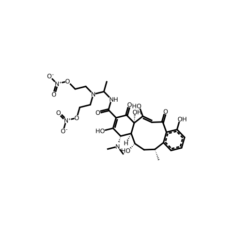 CC(NC(=O)C1=C(O)[C@@H](N(C)C)[C@@H]2[C@@H](O)C[C@@H](C)c3cccc(O)c3C(=O)/C=C(\O)[C@]2(O)C1=O)N(CCO[N+](=O)[O-])CCO[N+](=O)[O-]